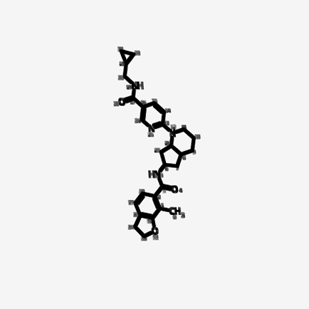 Cc1c(C(=O)NC2CC3CCCN(c4ccc(C(=O)NCC5CC5)cn4)C3C2)ccc2c1OCC2